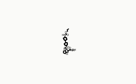 CCCOC(=O)Nc1ccc(-c2ccc(S(=O)(=O)N3C(C(=O)NO)C[C@H]4CCC[C@H]43)cc2)cc1